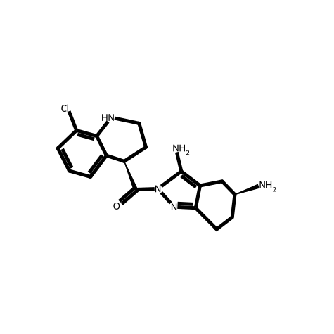 Nc1c2c(nn1C(=O)[C@@H]1CCNc3c(Cl)cccc31)CC[C@H](N)C2